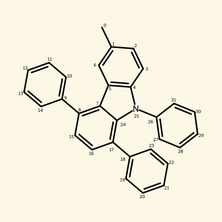 Cc1ccc2c(c1)c1c(-c3ccccc3)ccc(-c3ccccc3)c1n2-c1ccccc1